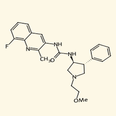 COCCN1C[C@@H](NC(=O)Nc2cc3cccc(F)c3nc2C)[C@H](c2ccccc2)C1